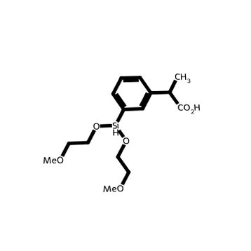 COCCO[SiH](OCCOC)c1cccc(C(C)C(=O)O)c1